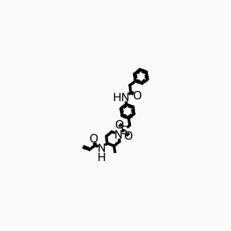 C=CC(=O)NC1CCN(S(=O)(=O)Cc2ccc(NC(=O)Cc3ccccc3)cc2)CC1C